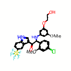 COc1cc(NC(C(=O)c2c[nH]c3ccc(S(F)(F)(F)(F)F)cc23)c2ccc(Cl)cc2OC)cc(OCCO)c1